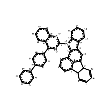 C1=CC2c3cccc4c3c(cc3c5ccccc5n(-c5nc(-c6ccc(-c7ccccc7)cc6)c6ccccc6n5)c43)C2C=C1